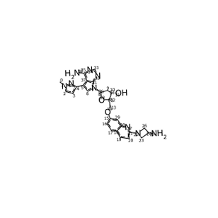 Cn1ccc(-c2cn([C@H]3C[C@H](O)[C@@H](COc4ccc5ccc(N6CC(N)C6)nc5c4)O3)c3ncnc(N)c23)n1